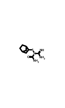 N=C(N)N(SC1CC2CCC1C2)C(N)=O